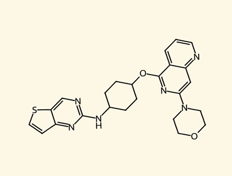 c1cnc2cc(N3CCOCC3)nc(OC3CCC(Nc4ncc5sccc5n4)CC3)c2c1